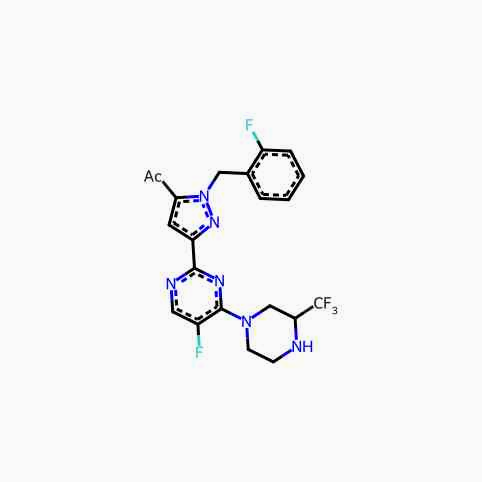 CC(=O)c1cc(-c2ncc(F)c(N3CCNC(C(F)(F)F)C3)n2)nn1Cc1ccccc1F